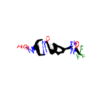 O=C(Cc1ccc(-c2noc(C(F)(F)F)n2)cc1)N1CCC(=NO)CC1